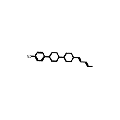 C/C=C/C=C/C1CCC(C2CCC(c3ccc(CC)cc3)CC2)CC1